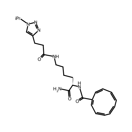 CC(C)n1cc(CCC(=O)NCCCC[C@H](NC(=O)c2ccccccccc2)C(N)=O)nn1